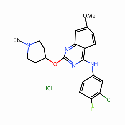 CCN1CCC(Oc2nc(Nc3ccc(F)c(Cl)c3)c3ccc(OC)cc3n2)CC1.Cl